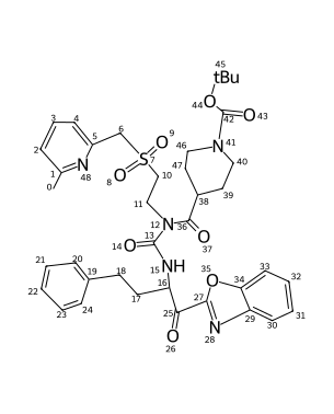 Cc1cccc(CS(=O)(=O)CCN(C(=O)NC(CCc2ccccc2)C(=O)c2nc3ccccc3o2)C(=O)C2CCN(C(=O)OC(C)(C)C)CC2)n1